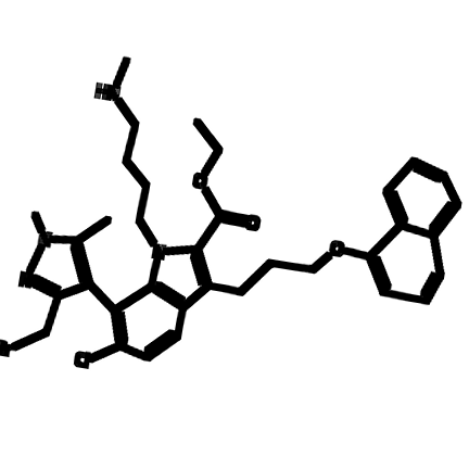 CCOC(=O)c1c(CCCOc2cccc3ccccc23)c2ccc(Cl)c(-c3c(CBr)nn(C)c3C)c2n1CCCCNC